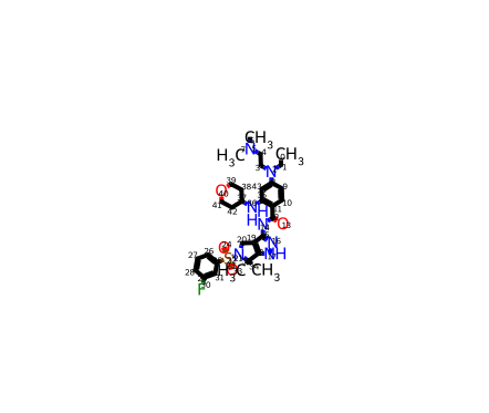 CCN(CCN(C)C)c1ccc(C(=O)Nc2n[nH]c3c2CN(S(=O)(=O)c2cccc(F)c2)C3(C)C)c(NC2CCOCC2)c1